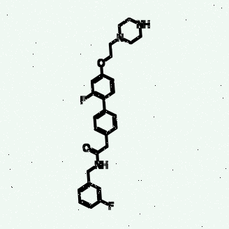 O=C(Cc1ccc(-c2ccc(OCCN3CCNCC3)cc2F)cc1)NCc1cccc(F)c1